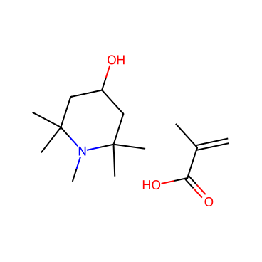 C=C(C)C(=O)O.CN1C(C)(C)CC(O)CC1(C)C